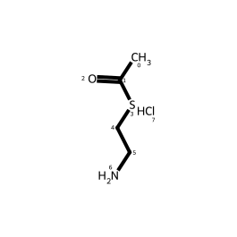 CC(=O)SCCN.Cl